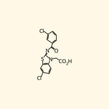 O=C(O)Cn1c(=NC(=O)c2cccc(Cl)c2)sc2cc(Cl)ccc21